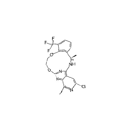 Cc1nc(Cl)cc2c3nc(nc12)OCCOc1c(cccc1C(F)(F)F)[C@@H](C)N3